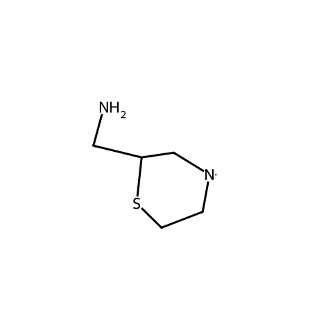 NCC1C[N]CCS1